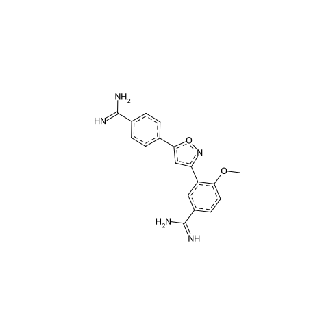 COc1ccc(C(=N)N)cc1-c1cc(-c2ccc(C(=N)N)cc2)on1